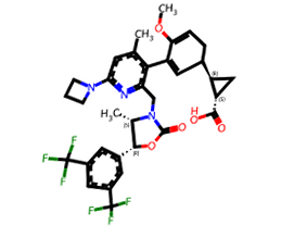 COC1=CCC([C@H]2C[C@@H]2C(=O)O)C=C1c1c(C)cc(N2CCC2)nc1CN1C(=O)O[C@H](c2cc(C(F)(F)F)cc(C(F)(F)F)c2)[C@@H]1C